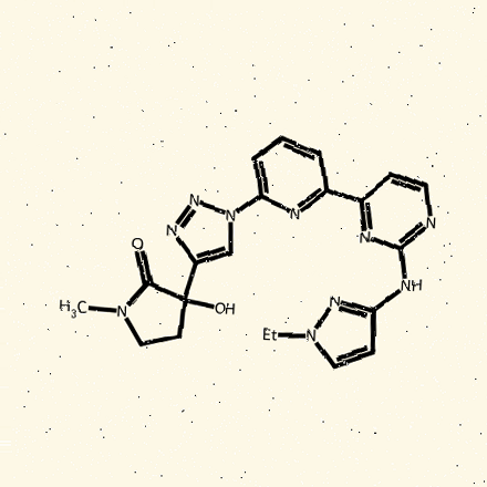 CCn1ccc(Nc2nccc(-c3cccc(-n4cc(C5(O)CCN(C)C5=O)nn4)n3)n2)n1